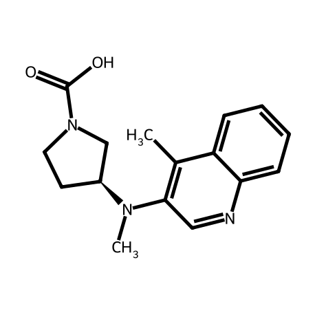 Cc1c(N(C)[C@H]2CCN(C(=O)O)C2)cnc2ccccc12